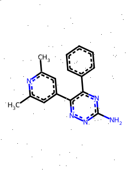 Cc1cc(-c2nnc(N)nc2-c2ccccc2)cc(C)n1